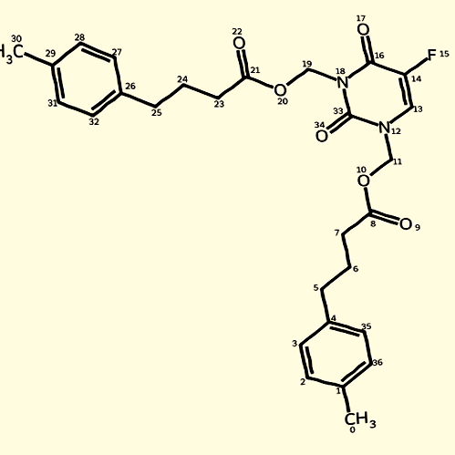 Cc1ccc(CCCC(=O)OCn2cc(F)c(=O)n(COC(=O)CCCc3ccc(C)cc3)c2=O)cc1